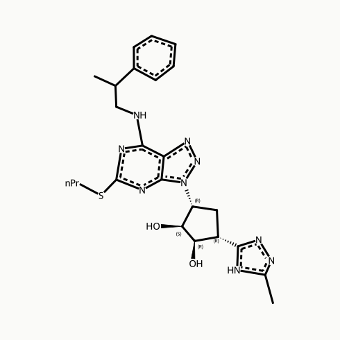 CCCSc1nc(NCC(C)c2ccccc2)c2nnn([C@@H]3C[C@H](c4nnc(C)[nH]4)[C@@H](O)[C@H]3O)c2n1